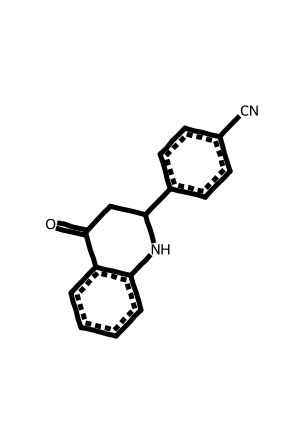 N#Cc1ccc(C2CC(=O)c3ccccc3N2)cc1